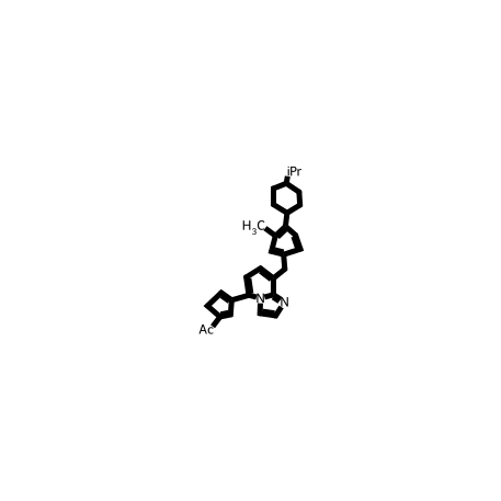 CC(=O)C1=CC(c2ccc(Cc3ccc(C4CCC(C(C)C)CC4)c(C)c3)c3nccn23)=CC1